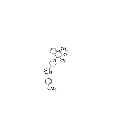 COc1ccc(-c2noc(C3CCN(c4c(C#N)c(=O)n(C)c5ccccc45)CC3)n2)cc1